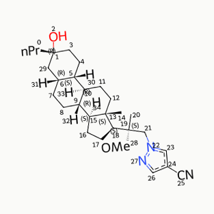 CCC[C@@]1(O)CC[C@H]2[C@H](CC[C@@H]3[C@@H]2CC[C@@]2(C)[C@H]3CC[C@@H]2[C@@](C)(Cn2cc(C#N)cn2)OC)C1